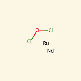 ClOCl.[Nd].[Ru]